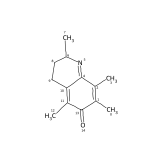 CC1=C(C)C2=NC(C)CCC2=C(C)C1=O